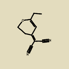 CCC1=CC(=C(C#N)C#N)CCO1